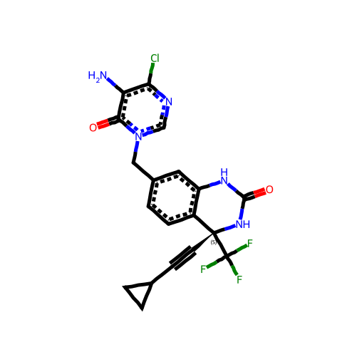 Nc1c(Cl)ncn(Cc2ccc3c(c2)NC(=O)N[C@]3(C#CC2CC2)C(F)(F)F)c1=O